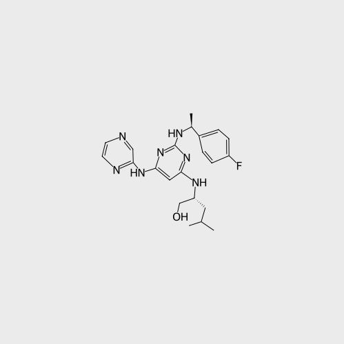 CC(C)C[C@H](CO)Nc1cc(Nc2cnccn2)nc(N[C@@H](C)c2ccc(F)cc2)n1